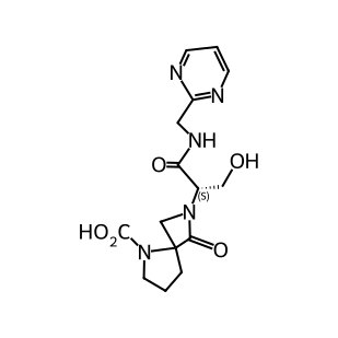 O=C(NCc1ncccn1)[C@H](CO)N1CC2(CCCN2C(=O)O)C1=O